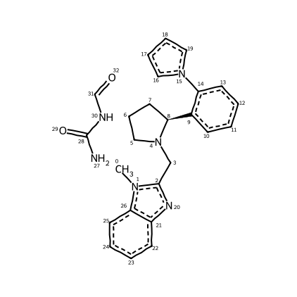 Cn1c(CN2CCC[C@H]2c2ccccc2-n2cccc2)nc2ccccc21.NC(=O)NC=O